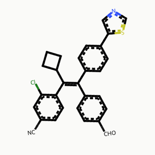 N#Cc1ccc(/C(=C(\c2ccc(C=O)cc2)c2ccc(-c3cncs3)cc2)C2CCC2)c(Cl)c1